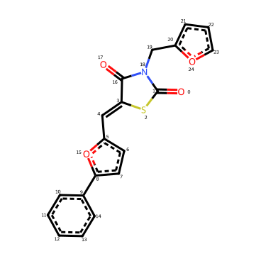 O=C1S/C(=C\c2ccc(-c3ccccc3)o2)C(=O)N1Cc1ccco1